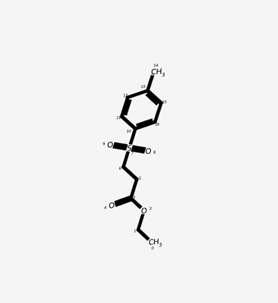 CCOC(=O)CCS(=O)(=O)c1ccc(C)cc1